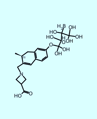 BC(O)(C(O)(O)O)C(O)(O)C(O)(O)Oc1ccc2c(c1)C[C@H](C)C(CN1CC(C(=O)O)C1)=C2